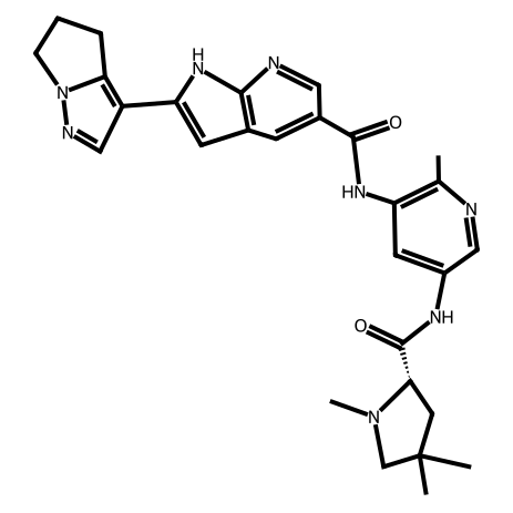 Cc1ncc(NC(=O)[C@@H]2CC(C)(C)CN2C)cc1NC(=O)c1cnc2[nH]c(-c3cnn4c3CCC4)cc2c1